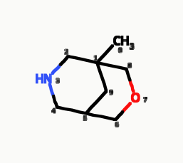 CC12CNCC(COC1)C2